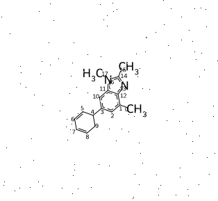 Cc1cc(C2C=CC=CC2)cc2c1nc(C)n2C